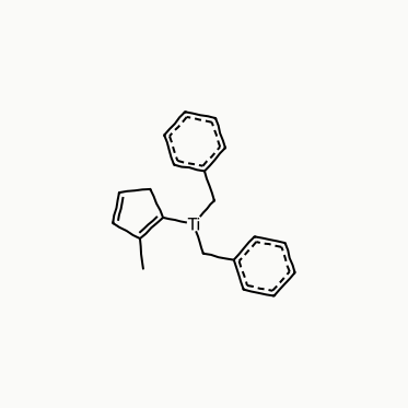 CC1=[C]([Ti]([CH2]c2ccccc2)[CH2]c2ccccc2)CC=C1